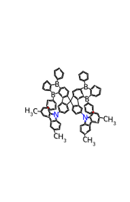 Cc1ccc2c(c1)c1cc(C)ccc1n2-c1ccc2c(c1)-c1c(ccc3c1B(c1ccccc1)c1ccccc1B3c1ccccc1)C21c2ccc(-n3c4ccc(C)cc4c4cc(C)ccc43)cc2-c2c1ccc1c2B(c2ccccc2)c2ccccc2B1c1ccccc1